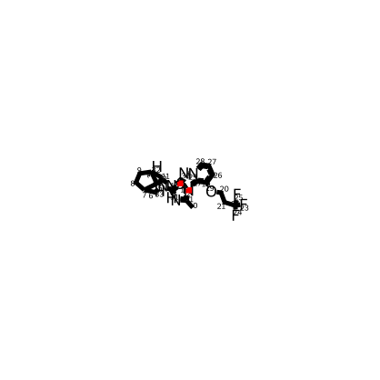 Cc1nsc(N2CC3CC[C@@H](C2)[C@@H]3CNc2nc3c(OCCC(F)(F)F)cccn3n2)n1